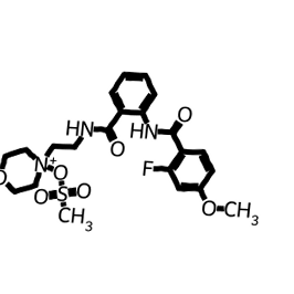 COc1ccc(C(=O)Nc2ccccc2C(=O)NCC[N+]2(OS(C)(=O)=O)CCOCC2)c(F)c1